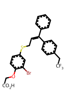 O=C(O)COc1ccc(SCC=C(c2ccccc2)c2ccc(CC(F)(F)F)cc2)cc1Br